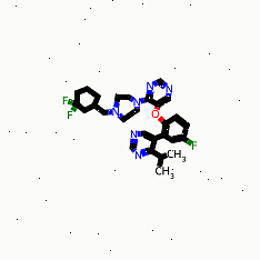 CC(C)c1ncncc1-c1cc(F)ccc1Oc1cncnc1N1CCN(CC2CCCC(F)(F)C2)CC1